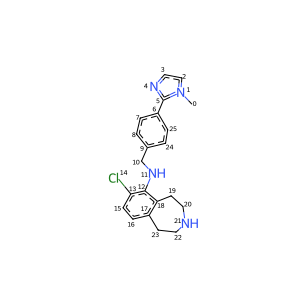 Cn1ccnc1-c1ccc(CNc2c(Cl)ccc3c2CCNCC3)cc1